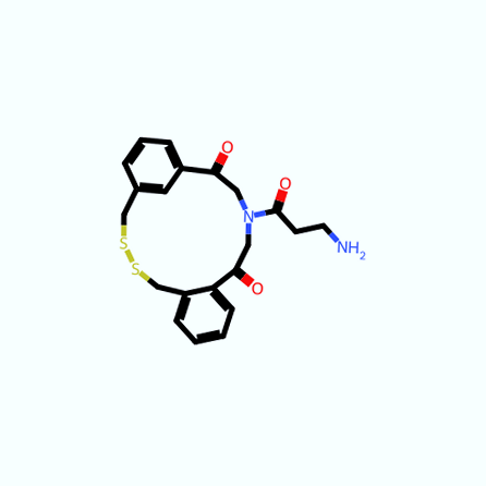 NCCC(=O)N1CC(=O)c2cccc(c2)CSSCc2ccccc2C(=O)C1